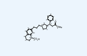 COC(=O)CN(c1ccccc1)C1CCN(CCCc2ccc3c(n2)N(C(=O)O)CCC3)C1